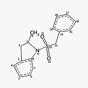 CC1Cc2ccccc2N1S(=O)(=O)Cc1ccccc1